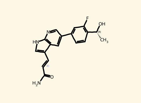 C[C@@H](O)c1ccc(-c2cnc3[nH]cc(/C=C/C(N)=O)c3c2)cc1F